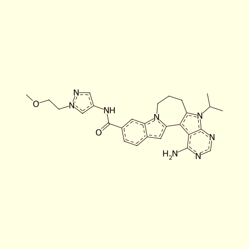 COCCn1cc(NC(=O)c2ccc3cc4n(c3c2)CCCc2c-4c3c(N)ncnc3n2C(C)C)cn1